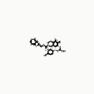 O=C(O)COc1ccc(Cl)cc1[C@@H]1c2ccc(F)c(F)c2CCN1C(=O)OCc1nc2ccccc2s1